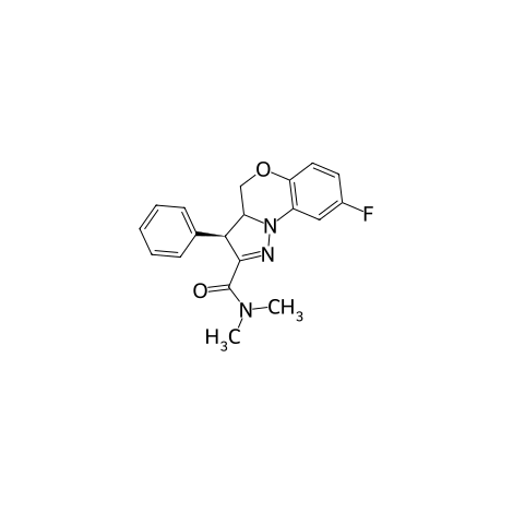 CN(C)C(=O)C1=NN2c3cc(F)ccc3OCC2[C@@H]1c1ccccc1